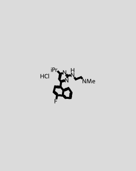 CNCCNc1nc(-c2ccc(F)c3ccccc23)cc(C(C)C)n1.Cl